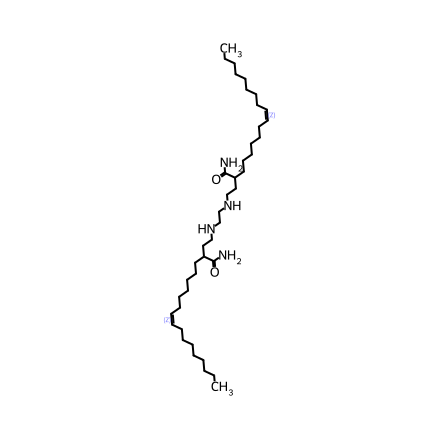 CCCCCCCC/C=C\CCCCCCC(CCNCCNCCC(CCCCCC/C=C\CCCCCCCC)C(N)=O)C(N)=O